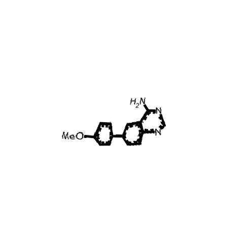 COc1ccc(-c2ccc3ncnc(N)c3c2)cc1